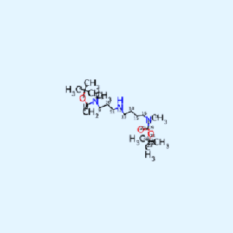 C=C(OC(C)(C)C)N(C)CCCNCCCCN(C)C(=O)OC(C)(C)C